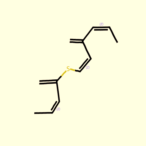 C=C(/C=C\C)/C=C\SC(=C)/C=C\C